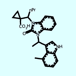 CCCC(n1c(=O)n(C(C)c2c[nH]c3cccc(C)c23)c2ccccc21)C1(C(=O)O)CC1